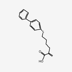 C=C(CCCCSc1ccc(-c2ccccc2)cc1)C(=O)O